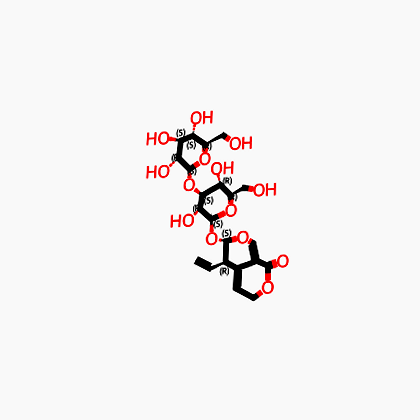 C=C[C@@H]1C2=CCOC(=O)C2=CO[C@H]1O[C@@H]1O[C@H](CO)[C@@H](O)[C@H](O[C@@H]2O[C@H](CO)[C@@H](O)[C@H](O)[C@H]2O)[C@H]1O